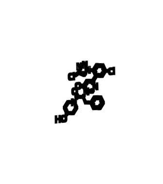 O=C([C@H](Cc1ccccc1)n1cnc(-c2cc(Cl)ccc2-n2cc(Cl)nn2)cc1=O)N1CCC(O)CC1